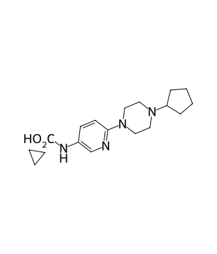 C1CC1.O=C(O)Nc1ccc(N2CCN(C3CCCC3)CC2)nc1